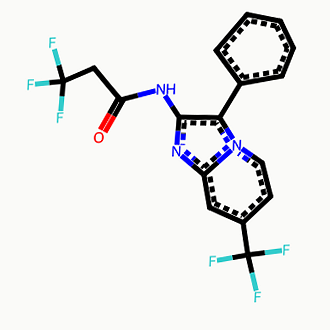 O=C(CC(F)(F)F)Nc1nc2cc(C(F)(F)F)ccn2c1-c1ccccc1